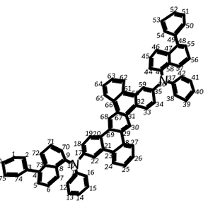 c1ccc(-c2cccc3c(N(c4ccccc4)c4ccc5c(c4)c4ccccc4c4cc6c7ccc(N(c8ccccc8)c8cccc9c(-c%10ccccc%10)cccc89)cc7c7ccccc7c6cc54)cccc23)cc1